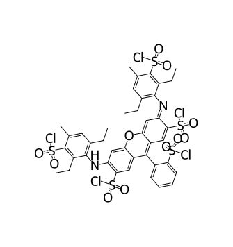 CCc1cc(C)c(S(=O)(=O)Cl)c(CC)c1/N=c1\cc2oc3cc(Nc4c(CC)cc(C)c(S(=O)(=O)Cl)c4CC)c(S(=O)(=O)Cl)cc3c(-c3ccccc3S(=O)(=O)Cl)c-2cc1S(=O)(=O)Cl